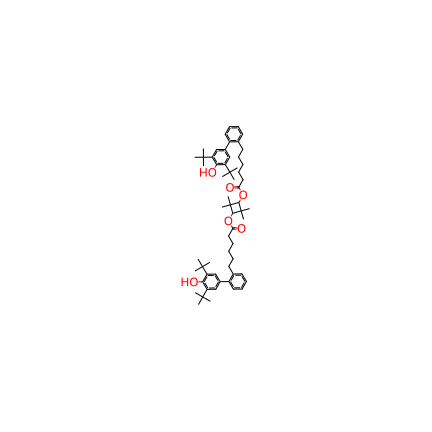 CC(C)(C)c1cc(-c2ccccc2CCCCCC(=O)OC2C(C)(C)C(OC(=O)CCCCCc3ccccc3-c3cc(C(C)(C)C)c(O)c(C(C)(C)C)c3)C2(C)C)cc(C(C)(C)C)c1O